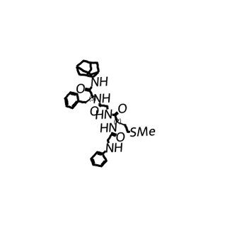 CSCC[C@@H](NC(=O)CNc1ccccc1)C(=O)NCC(=O)N[C@@H](Cc1ccccc1)C(=O)NC1C2CC3CC(C2)CC1C3